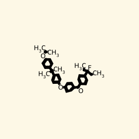 CCC(F)(CC)c1ccc(C(=O)c2ccc(Oc3ccc(C(C)(C)c4ccc(OC(C)C)cc4)cc3)cc2)cc1